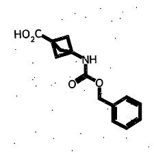 O=C(NC12CC(C(=O)O)(C1)C2)OCc1ccccc1